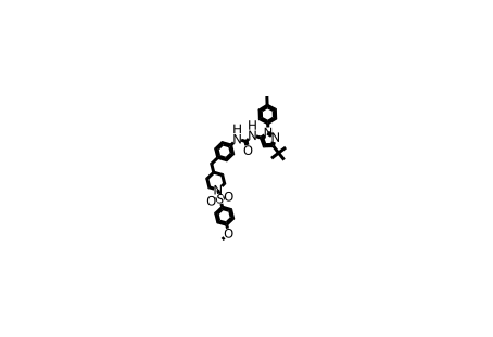 COc1ccc(S(=O)(=O)N2CCC(Cc3ccc(NC(=O)Nc4cc(C(C)(C)C)nn4-c4ccc(C)cc4)cc3)CC2)cc1